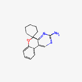 Nc1ncc2c(n1)C1(CCCCC1)Oc1ccccc1-2